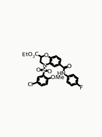 CCOC(=O)C1CN(S(=O)(=O)c2cc(Cl)ccc2OC)c2cc(C(=O)Nc3ccc(F)cc3)ccc2O1